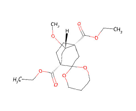 CCOC(=O)[C@@]12CC[C@@](C(=O)OCC)(C[C@@H]1OC)C1(C2)OCCCO1